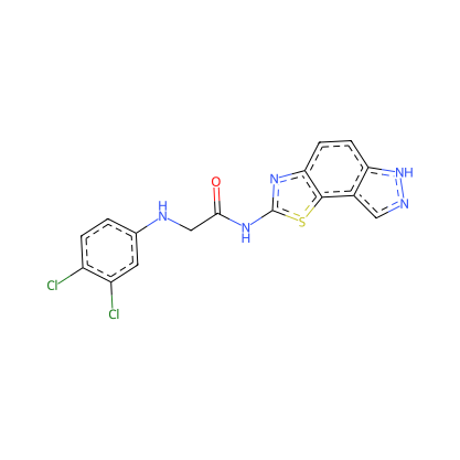 O=C(CNc1ccc(Cl)c(Cl)c1)Nc1nc2ccc3[nH]ncc3c2s1